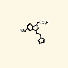 CCCCc1ccc2c(c1)C(CCn1ccnc1)CN2CC(=O)O